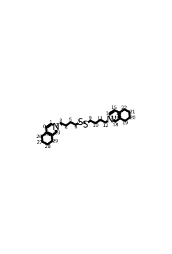 c1c[n+](CCCCSSCCCC[n+]2ccc3c(c2)CCCC3)cc2c1CCCC2